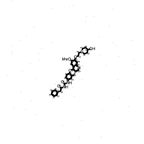 COc1cc2c(Oc3ccc(NC(=O)NC(=O)Cc4ccccc4)cc3F)ccnc2cc1OCCN1CCC(O)CC1